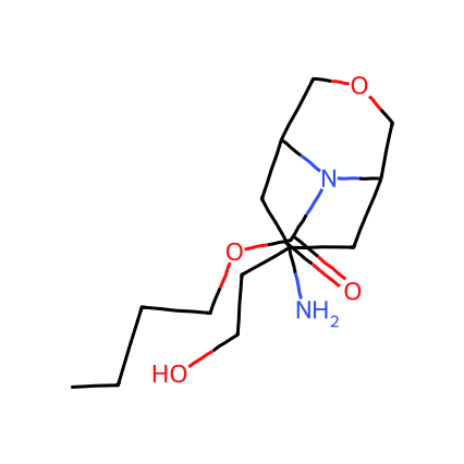 CCCCOC(=O)N1C2COCC1CC(N)(CCO)C2